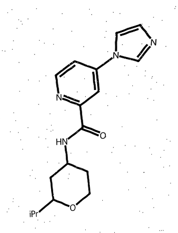 CC(C)C1CC(NC(=O)c2cc(-n3ccnc3)ccn2)CCO1